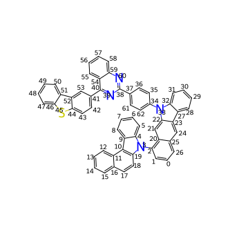 c1cc(-n2c3ccccc3c3c4ccccc4ccc32)c2cc3c(cc2c1)c1ccccc1n3-c1ccc(-c2nc(-c3ccc4sc5ccccc5c4c3)c3ccccc3n2)cc1